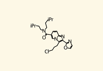 CC(C)CCN(CCC(C)C)C(=O)c1ccc2nc(-c3ncco3)c(CCCCl)n2c1